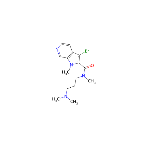 CN(C)CCCN(C)C(=O)c1c(Br)c2ccncc2n1C